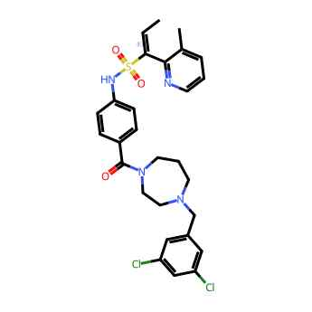 C/C=C(\c1ncccc1C)S(=O)(=O)Nc1ccc(C(=O)N2CCCN(Cc3cc(Cl)cc(Cl)c3)CC2)cc1